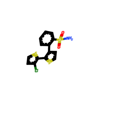 NS(=O)(=O)c1ccccc1-c1ccsc1-c1sccc1Cl